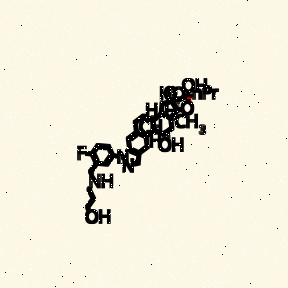 CCC[C@@H]1O[C@@H]2C[C@H]3[C@@H]4CCC5=Cc6c(cnn6-c6ccc(F)c(CNCCCO)c6)C[C@]5(C)[C@H]4[C@@H](O)C[C@]3(C)[C@]2(C(=O)CO)O1